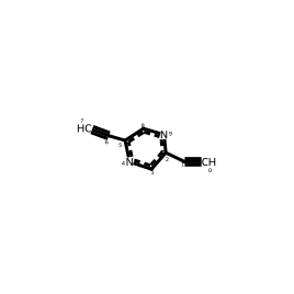 C#Cc1cnc(C#C)cn1